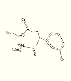 CC(=O)NNC(=O)C(CC(=O)OC(C)(C)C)c1cccc(Br)c1